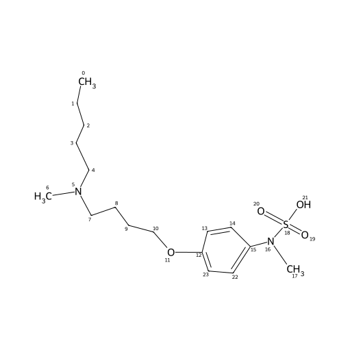 CCCCCN(C)CCCCOc1ccc(N(C)S(=O)(=O)O)cc1